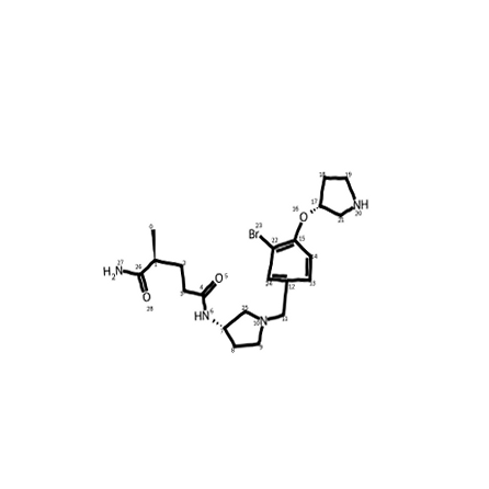 C[C@@H](C[CH]C(=O)N[C@H]1CCN(Cc2ccc(O[C@@H]3CCNC3)c(Br)c2)C1)C(N)=O